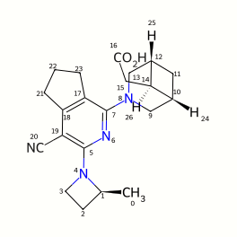 C[C@H]1CCN1c1nc(N2C[C@H]3C[C@@H](C2)[C@@H]3CC(=O)O)c2c(c1C#N)CCC2